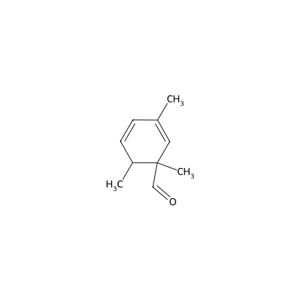 CC1=CC(C)(C=O)C(C)C=C1